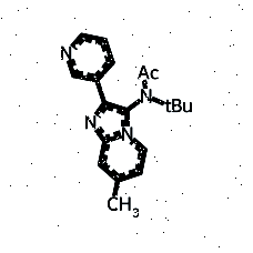 CC(=O)N(c1c(-c2cccnc2)nc2cc(C)ccn12)C(C)(C)C